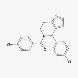 O=C(c1ccc(Cl)cc1)N1CCc2sccc2C1c1ccc(Cl)cc1